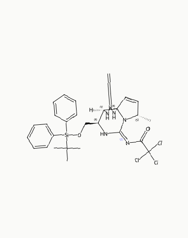 C=C1N[C@H]2[C@H](CO[Si](c3ccccc3)(c3ccccc3)C(C)(C)C)N/C(=N/C(=O)C(Cl)(Cl)Cl)N3[C@@H](C)C=C[C@]23N1